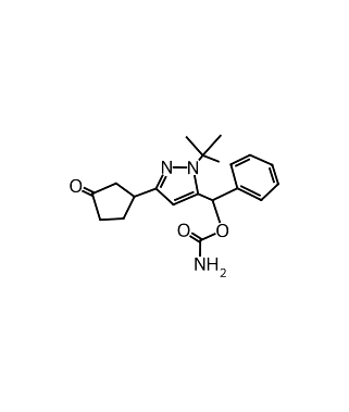 CC(C)(C)n1nc(C2CCC(=O)C2)cc1C(OC(N)=O)c1ccccc1